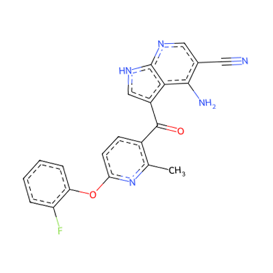 Cc1nc(Oc2ccccc2F)ccc1C(=O)c1c[nH]c2ncc(C#N)c(N)c12